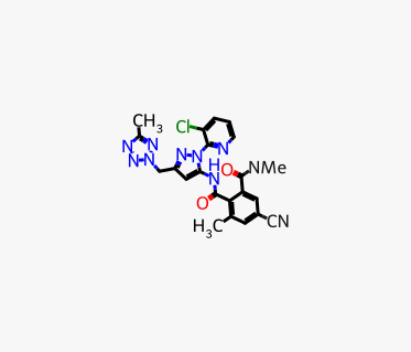 CNC(=O)c1cc(C#N)cc(C)c1C(=O)Nc1cc(Cn2nnc(C)n2)nn1-c1ncccc1Cl